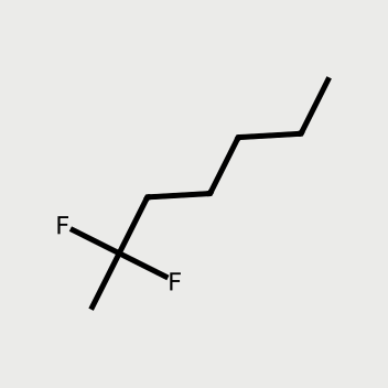 CCCCCC(C)(F)F